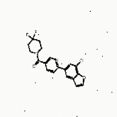 O=C(c1ccc(-c2cc(Cl)c3occc3c2)nc1)N1CCC(F)(F)CC1